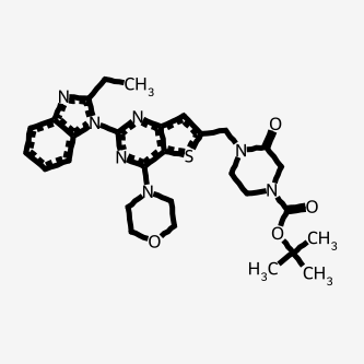 CCc1nc2ccccc2n1-c1nc(N2CCOCC2)c2sc(CN3CCN(C(=O)OC(C)(C)C)CC3=O)cc2n1